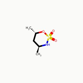 C[C@H]1C[C@H](C)OS(=O)(=O)N1